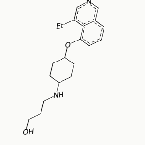 CCc1cncc2cccc(OC3CCC(NCCCO)CC3)c12